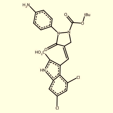 CC(C)(C)OC(=O)N1C/C(=C/c2c(C(=O)O)[nH]c3cc(Cl)cc(Cl)c23)C(=O)N1c1ccc(N)cc1